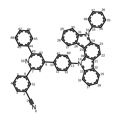 N#Cc1cccc(-c2cc(-c3ccc(-n4c5ccccc5c5ccc6c(c7ccccc7n6-c6ccccc6)c54)cc3)cc(-c3ccccc3)n2)c1